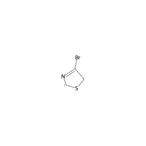 BrC1=N[C]SC1